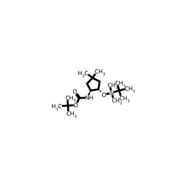 CC1(C)C[C@H](NC(=O)OC(C)(C)C)[C@@H](O[Si](C)(C)C(C)(C)C)C1